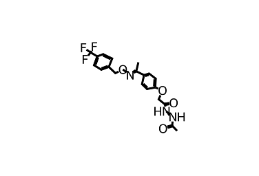 CC(=O)NNC(=O)COc1ccc(C(C)=NOCc2ccc(C(F)(F)F)cc2)cc1